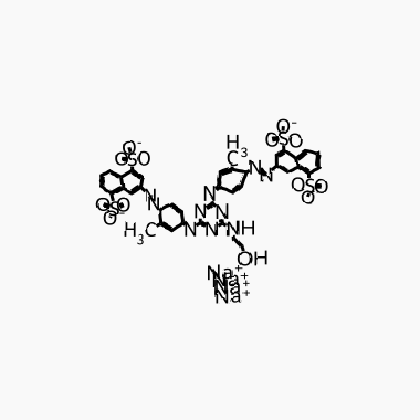 CC1=C/C(=N/c2nc(/N=C3\C=CC(N=Nc4cc(S(=O)(=O)[O-])c5cccc(S(=O)(=O)[O-])c5c4)C(C)=C3)nc(NCCO)n2)C=CC1N=Nc1cc(S(=O)(=O)[O-])c2cccc(S(=O)(=O)[O-])c2c1.[Na+].[Na+].[Na+].[Na+]